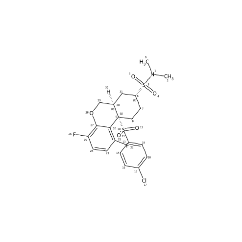 CN(C)S(=O)(=O)[C@@H]1CC[C@@]2(S(=O)(=O)c3ccc(Cl)cc3)c3c(F)ccc(F)c3OC[C@H]2C1